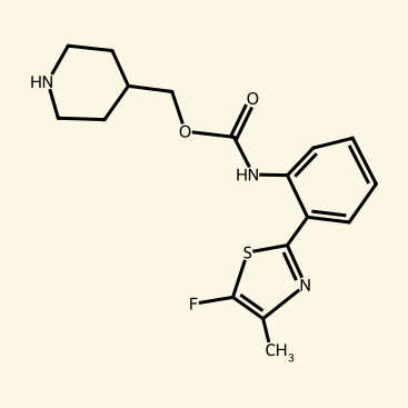 Cc1nc(-c2ccccc2NC(=O)OCC2CCNCC2)sc1F